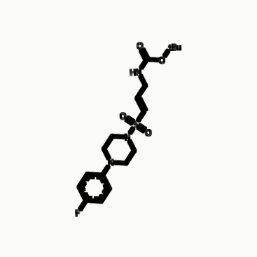 CC(C)(C)OC(=O)NCC=CS(=O)(=O)N1CCN(c2ccc(F)cc2)CC1